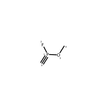 C#P(F)OC